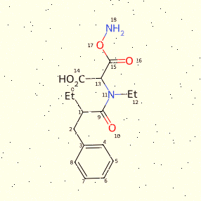 CCC(Cc1ccccc1)C(=O)N(CC)C(C(=O)O)C(=O)ON